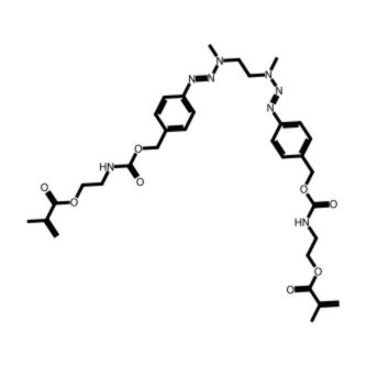 C=C(C)C(=O)OCCNC(=O)OCc1ccc(/N=N/N(C)CCN(C)/N=N/c2ccc(COC(=O)NCCOC(=O)C(=C)C)cc2)cc1